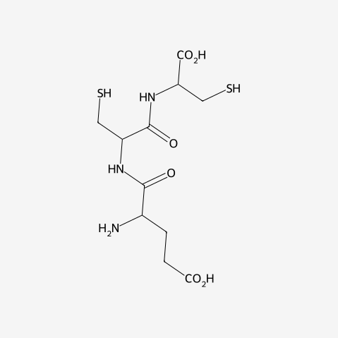 NC(CCC(=O)O)C(=O)NC(CS)C(=O)NC(CS)C(=O)O